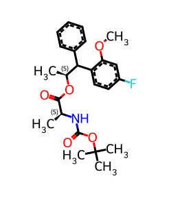 COc1cc(F)ccc1C(c1ccccc1)[C@H](C)OC(=O)[C@H](C)NC(=O)OC(C)(C)C